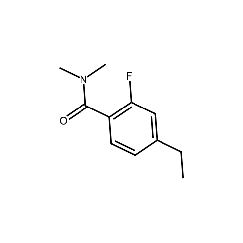 CCc1ccc(C(=O)N(C)C)c(F)c1